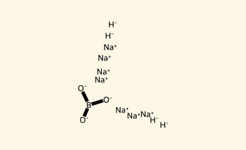 [H-].[H-].[H-].[H-].[Na+].[Na+].[Na+].[Na+].[Na+].[Na+].[Na+].[O-]B([O-])[O-]